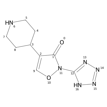 O=c1c(C2CCNCC2)con1-c1nnn[nH]1